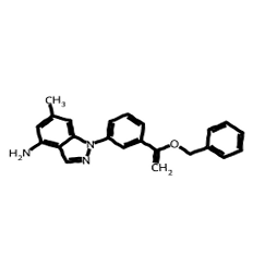 C=C(OCc1ccccc1)c1cccc(-n2ncc3c(N)cc(C)cc32)c1